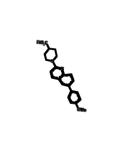 CCOC(=O)C1CCN(c2ccc3cc(-c4ccc(OC)cc4)ccc3n2)CC1